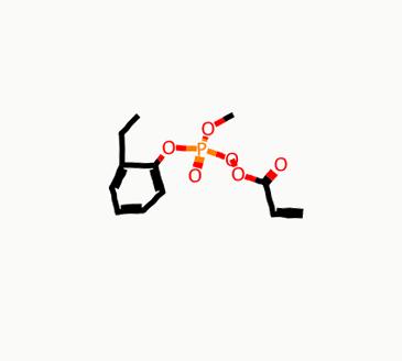 C=CC(=O)OOP(=O)(OC)Oc1ccccc1CC